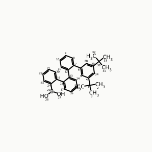 CC(C)(C)c1cc(-c2ccccc2-c2ccccc2-c2ccccc2B(O)O)cc(C(C)(C)C)c1